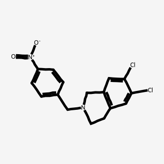 O=[N+]([O-])c1ccc(CN2CCc3cc(Cl)c(Cl)cc3C2)cc1